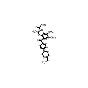 CNC(=O)NC(C)Cc1cc(OC)c(OC)cc1C(=N)c1ccc(N2CCN(CC(F)(F)F)CC2)cc1